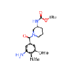 CNc1c(N)cc(C(=O)N2CCCC(NC(=O)OC(C)(C)C)C2)cc1OC